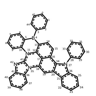 c1ccc(B2c3ccccc3-n3c4c2ccc2c4c(cc4c5ccccc5n(-c5ccccc5)c42)n2c4ccccc4nc32)cc1